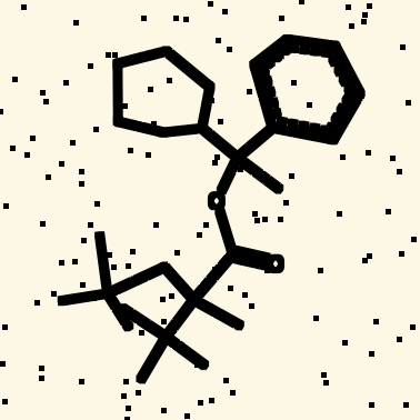 CC(C)(C)CC(C)(C(=O)OC(C)(c1ccccc1)C1CCCCC1)C(C)(C)C